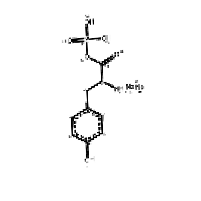 N[C@@H](Cc1ccc(O)cc1)C(=O)OP(=O)(O)O.[NaH].[NaH]